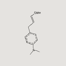 COC=CCc1ccc(N(C)C)cc1